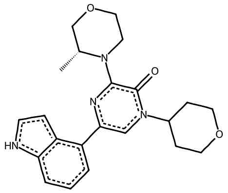 C[C@@H]1COCCN1c1nc(-c2cccc3[nH]ccc23)cn(C2CCOCC2)c1=O